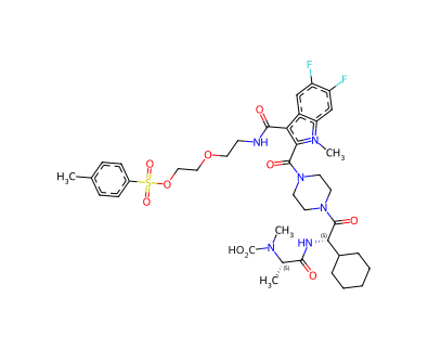 Cc1ccc(S(=O)(=O)OCCOCCNC(=O)c2c(C(=O)N3CCN(C(=O)[C@@H](NC(=O)[C@H](C)N(C)C(=O)O)C4CCCCC4)CC3)n(C)c3cc(F)c(F)cc23)cc1